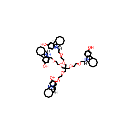 C[C@@]12CCCCC[C@@H](Cc3ccc(O)cc31)[C@@H]2NCCOCCOCC(COCCOCCN[C@H]1[C@H]2CCCCC[C@]1(C)c1cc(O)ccc1C2)(COCCOCCN[C@H]1[C@H]2CCCCC[C@]1(C)c1cc(O)ccc1C2)COCCOCCN[C@H]1[C@H]2CCCCC[C@]1(C)c1cc(O)ccc1C2